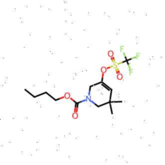 CCCCOC(=O)N1CC(OS(=O)(=O)C(F)(F)F)=CC(C)(C)C1